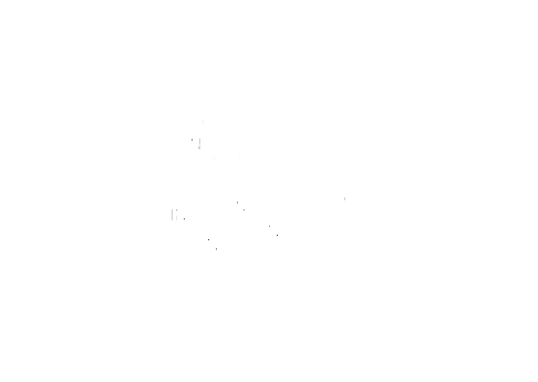 CC(C)NC(=O)c1c[nH]c2ncc(N3CCCC(C(C)C(=O)OC(C)(C)C)C3)nc12